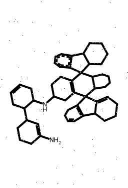 NC1=CC(C2CC=CCC2NC2CCC3=C(C2)C2(C4=CCCCC4C4=C2CCC=C4)C2CCCCC2C32c3ccccc3C3CCCCC32)CCC1